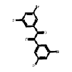 O=C(C(=O)c1cc(Br)cc(Br)c1)c1cc(Br)cc(Br)c1